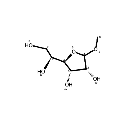 COC1O[C@H]([C@@H](O)CO)[C@@H](O)[C@H]1O